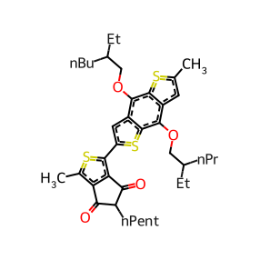 CCCCCC1C(=O)c2c(C)sc(-c3cc4c(OCC(CC)CCCC)c5sc(C)cc5c(OCC(CC)CCC)c4s3)c2C1=O